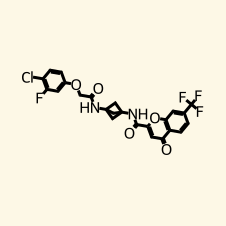 O=C(COc1ccc(Cl)c(F)c1)NC12CC(NC(=O)c3cc(=O)c4ccc(C(F)(F)F)cc4o3)(C1)C2